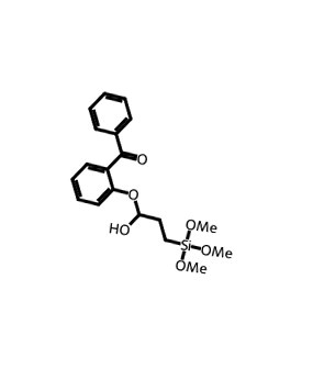 CO[Si](CCC(O)Oc1ccccc1C(=O)c1ccccc1)(OC)OC